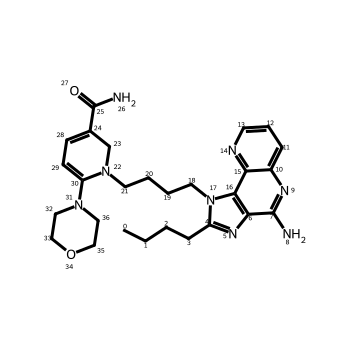 CCCCc1nc2c(N)nc3cccnc3c2n1CCCCN1CC(C(N)=O)=CC=C1N1CCOCC1